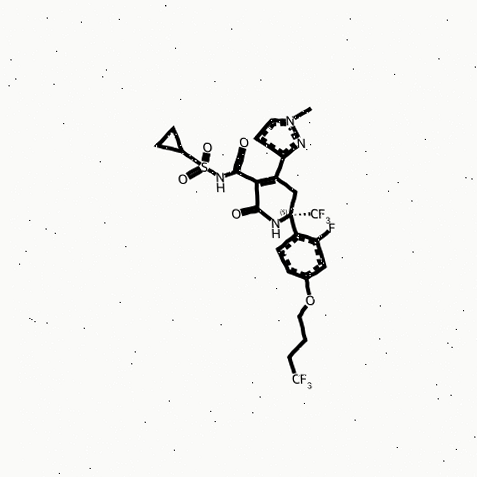 Cn1ccc(C2=C(C(=O)NS(=O)(=O)C3CC3)C(=O)N[C@@](c3ccc(OCCCC(F)(F)F)cc3F)(C(F)(F)F)C2)n1